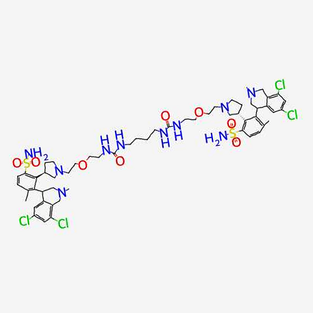 Cc1ccc(S(N)(=O)=O)c([C@H]2CCN(CCOCCNC(=O)NCCCCNC(=O)NCCOCCN3CC[C@H](c4c(S(N)(=O)=O)ccc(C)c4C4CN(C)Cc5c(Cl)cc(Cl)cc54)C3)C2)c1C1CN(C)Cc2c(Cl)cc(Cl)cc21